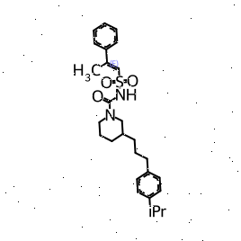 C/C(=C\S(=O)(=O)NC(=O)N1CCCC(CCCc2ccc(C(C)C)cc2)C1)c1ccccc1